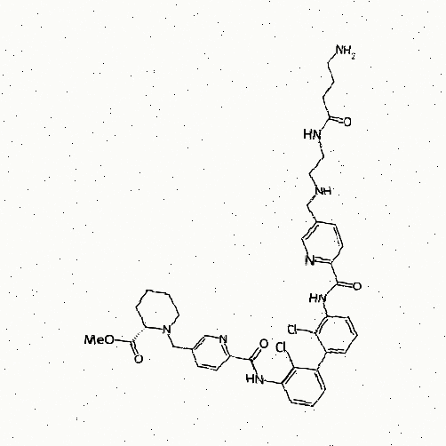 COC(=O)[C@@H]1CCCCN1Cc1ccc(C(=O)Nc2cccc(-c3cccc(NC(=O)c4ccc(CNCCNC(=O)CCCN)cn4)c3Cl)c2Cl)nc1